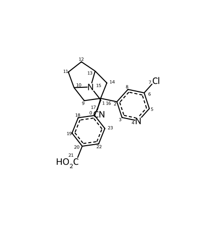 N#CC1(c2cncc(Cl)c2)CC2CCC(C1)N2Cc1ccc(C(=O)O)cc1